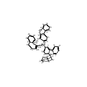 c1ccc2c(c1)-c1cc(N(c3ccc4c(c3)sc3ccccc34)c3cccc4ccccc34)ccc1C21C2CC3CC4CC1C42C3